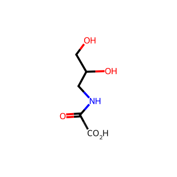 O=C(O)C(=O)NCC(O)CO